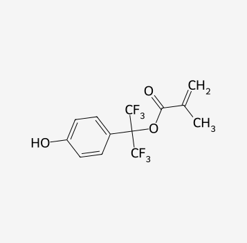 C=C(C)C(=O)OC(c1ccc(O)cc1)(C(F)(F)F)C(F)(F)F